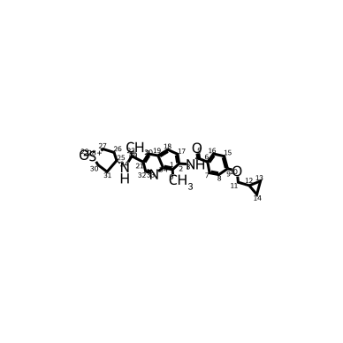 Cc1c(NC(=O)c2ccc(OCC3CC3)cc2)ccc2cc([C@@H](C)N[C@H]3CC[S@+]([O-])CC3)cnc12